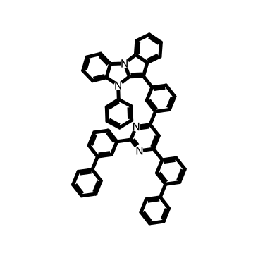 c1ccc(-c2cccc(-c3cc(-c4cccc(-c5c6ccccc6n6c7ccccc7n(-c7ccccc7)c56)c4)nc(-c4cccc(-c5ccccc5)c4)n3)c2)cc1